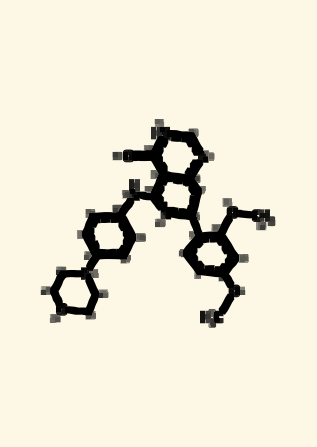 COc1ccc(-c2cc3nc[nH]c(=O)c3c(Nc3ccc(N4CCOCC4)cc3)n2)c(OC)c1